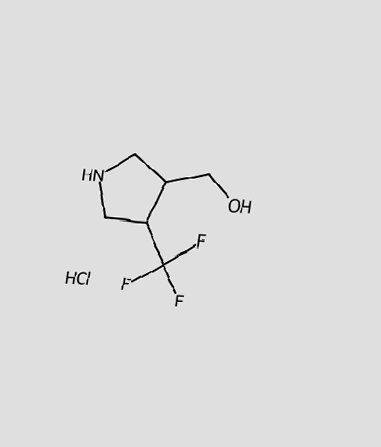 Cl.OCC1CNCC1C(F)(F)F